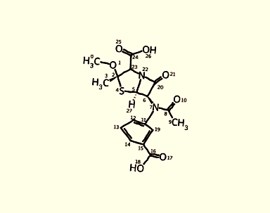 CO[C@@]1(C)S[C@@H]2[C@H](N(C(C)=O)c3cccc(C(=O)O)c3)C(=O)N2C1C(=O)O